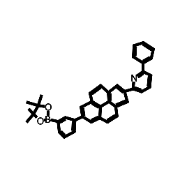 CC1(C)OB(c2cccc(-c3cc4ccc5cc(-c6cccc(-c7ccccc7)n6)cc6ccc(c3)c4c56)c2)OC1(C)C